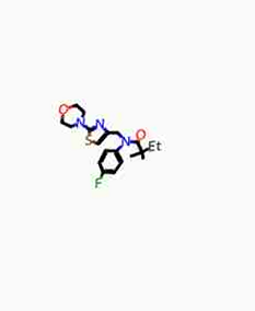 CCC(C)(C)C(=O)N(Cc1csc(N2CCOCC2)n1)c1ccc(F)cc1